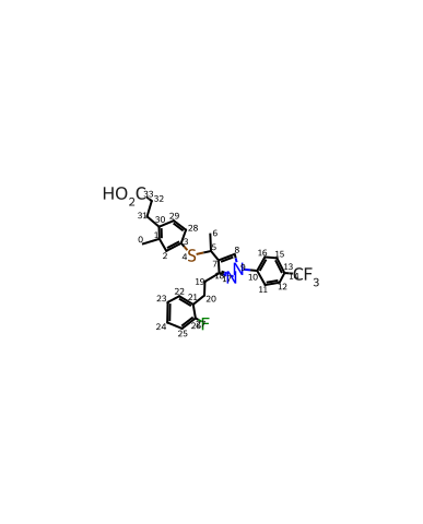 Cc1cc(SC(C)c2cn(-c3ccc(C(F)(F)F)cc3)nc2CCc2ccccc2F)ccc1CCC(=O)O